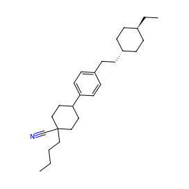 CCCCC1(C#N)CCC(c2ccc(CC[C@H]3CC[C@H](CC)CC3)cc2)CC1